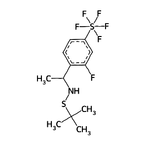 CC(NSC(C)(C)C)c1ccc(S(F)(F)(F)(F)F)cc1F